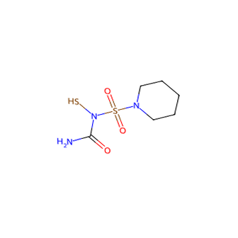 NC(=O)N(S)S(=O)(=O)N1CCCCC1